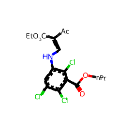 CCCOC(=O)c1c(Cl)c(Cl)cc(NC=C(C(C)=O)C(=O)OCC)c1Cl